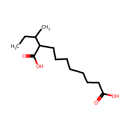 CCC(C)C(CCCCCCCC(=O)O)C(=O)O